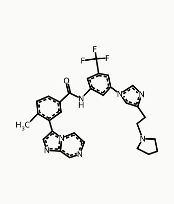 Cc1ccc(C(=O)Nc2cc(-n3cnc(CCN4CCCC4)c3)cc(C(F)(F)F)c2)cc1-c1cnc2cnccn12